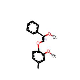 CCO/C(=C/Oc1ccc(C)cc1OCC)c1ccccc1